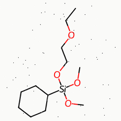 CCOCCO[Si](OC)(OC)C1CCCCC1